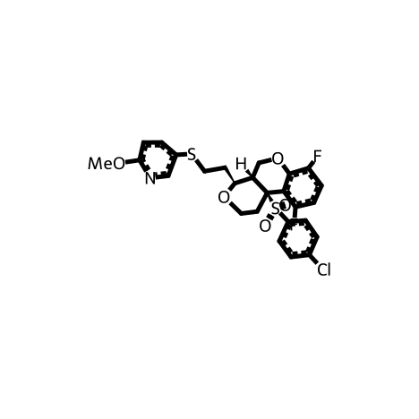 COc1ccc(SCC[C@@H]2OCC[C@@]3(S(=O)(=O)c4ccc(Cl)cc4)c4c(F)ccc(F)c4OC[C@@H]23)cn1